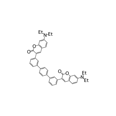 CCN(CC)c1ccc2cc(-c3cccc(-c4ccc(-c5cccc(-c6cc7ccc(N(CC)CC)cc7oc6=O)c5)cc4)c3)c(=O)oc2c1